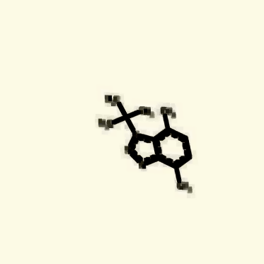 Cc1ccc(C)c2c1nnn2C(C)(C)C